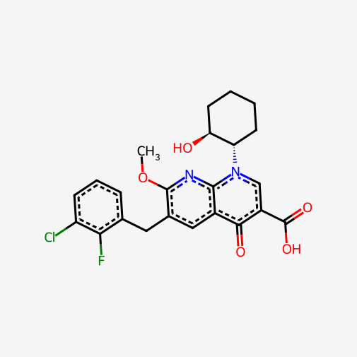 COc1nc2c(cc1Cc1cccc(Cl)c1F)c(=O)c(C(=O)O)cn2[C@H]1CCCC[C@@H]1O